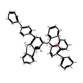 c1ccc(-c2ccc(-c3cc(N(c4ccc(-c5ccccc5)cc4)c4ccccc4-c4ccccc4)cc4c3oc3ccccc34)cc2)cc1